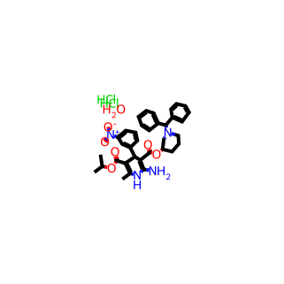 CC1=C(C(=O)OC(C)C)C(c2cccc([N+](=O)[O-])c2)C(C(=O)OC2CCCN(C(c3ccccc3)c3ccccc3)C2)=C(N)N1.Cl.Cl.O